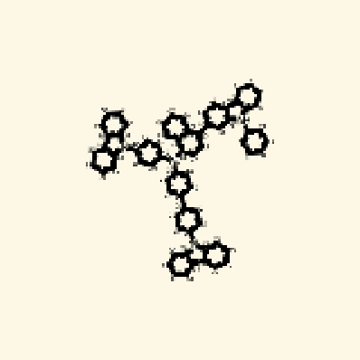 c1ccc(-n2c3ccccc3c3ccc(-c4ccc(N(c5ccc(-c6ccc(-n7c8ccccc8c8ccccc87)cc6)cc5)c5ccc(-n6c7ccccc7c7ccccc76)cc5)c5ccccc45)cc32)cc1